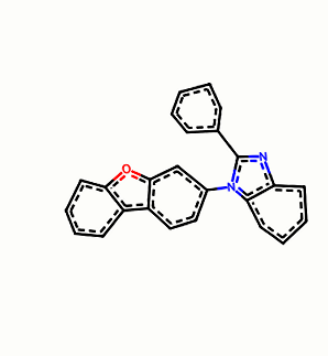 c1ccc(-c2nc3ccccc3n2-c2ccc3c(c2)oc2ccccc23)cc1